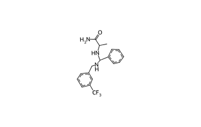 CC(NC(NCc1cccc(C(F)(F)F)c1)c1ccccc1)C(N)=O